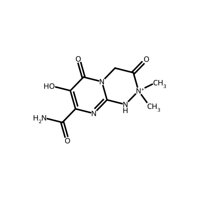 C[N+]1(C)Nc2nc(C(N)=O)c(O)c(=O)n2CC1=O